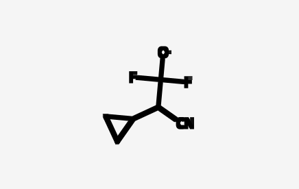 N#CC(C1CC1)C([O])(F)F